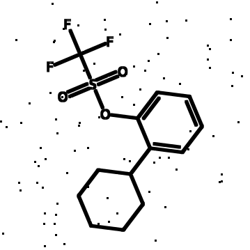 O=S(=O)(Oc1ccccc1C1CCCCC1)C(F)(F)F